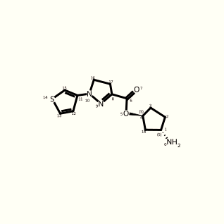 N[C@H]1CC[C@H](OC(=O)C2=NN(c3ccsc3)CC2)C1